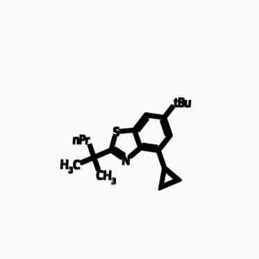 CCCC(C)(C)c1nc2c(C3CC3)cc(C(C)(C)C)cc2s1